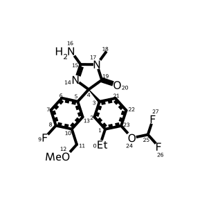 CCc1cc([C@@]2(c3ccc(F)c(COC)c3)N=C(N)N(C)C2=O)ccc1OC(F)F